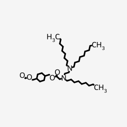 CCCCCCCCCN(CCCCCCCCC)CCN(CCCCCCCCC)CC(=O)OCC1CCC(COC=O)CC1